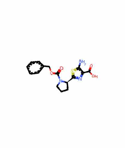 Nc1sc([C@H]2CCCN2C(=O)OCc2ccccc2)nc1C(=O)O